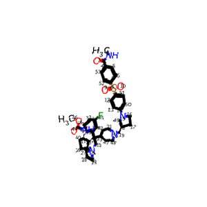 CNC(=O)c1ccc(S(=O)(=O)c2ccc(N3CC[C@@H](CN4CCC(C(CN5CCC5)(c5cccc(F)c5)[C@H]5CCC[C@@H]5NC(=O)OC)CC4)C3)cc2)cc1